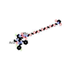 CC(=O)O[C@@H](C)C(=O)N(C[C@@H]1CN(C(=O)OC(C)(C)C)C[C@@H]1F)[C@@H](c1nc(-c2cc(F)ccc2F)cn1Cc1ccccc1)C(C)(C)CCOC(=O)NCCOCCOCCOCCOCCOCCOCCOCCN1C(=O)C=CC1=O